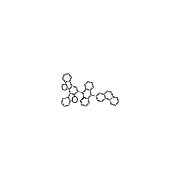 c1ccc2c(c1)ccc1cc(-c3c4ccccc4c(-c4cc5c6ccccc6oc5c5c4oc4ccccc45)c4ccccc34)ccc12